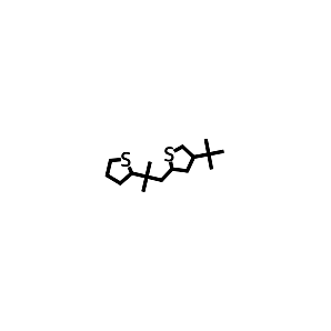 CC(C)(C)C1CSC(CC(C)(C)C2CCCS2)C1